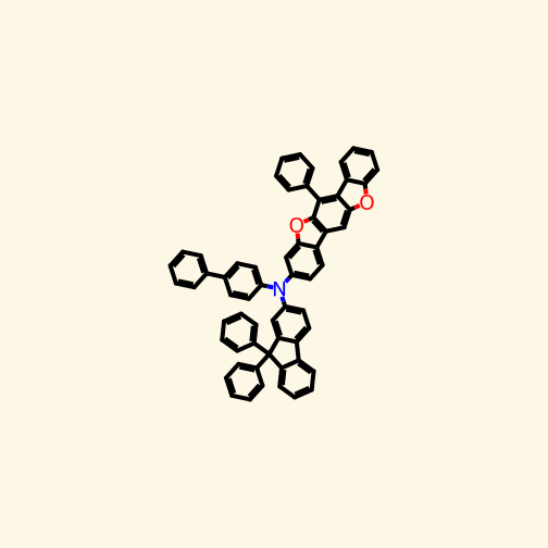 c1ccc(-c2ccc(N(c3ccc4c(c3)C(c3ccccc3)(c3ccccc3)c3ccccc3-4)c3ccc4c(c3)oc3c(-c5ccccc5)c5c(cc34)oc3ccccc35)cc2)cc1